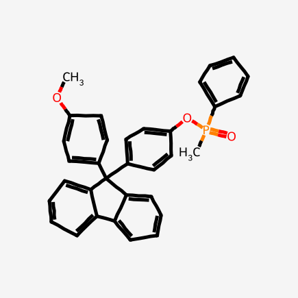 COc1ccc(C2(c3ccc(OP(C)(=O)c4ccccc4)cc3)c3ccccc3-c3ccccc32)cc1